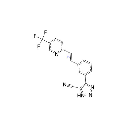 N#Cc1[nH]nnc1-c1cccc(/C=C/c2ccc(C(F)(F)F)cn2)c1